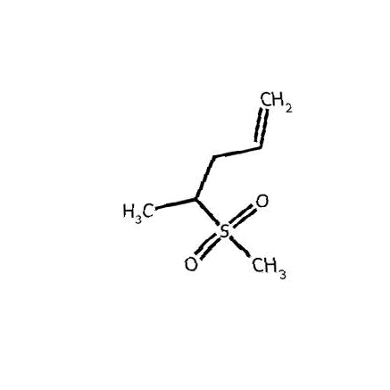 C=CCC(C)S(C)(=O)=O